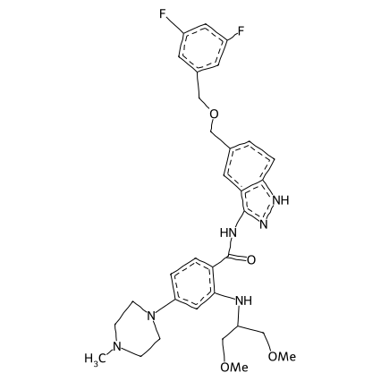 COCC(COC)Nc1cc(N2CCN(C)CC2)ccc1C(=O)Nc1n[nH]c2ccc(COCc3cc(F)cc(F)c3)cc12